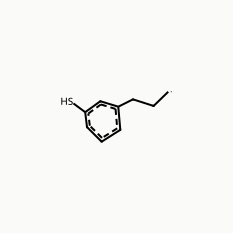 [CH2]CCc1cccc(S)c1